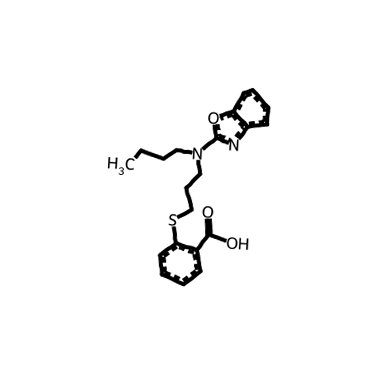 CCCCN(CCCSc1ccccc1C(=O)O)c1nc2ccccc2o1